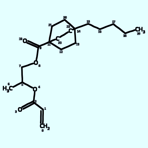 C=CC(=O)OC(C)COC(=O)C12CCC(CCCCC)(CC1)CC2